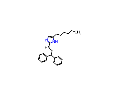 CCCCCCc1cnc(BCC(c2ccccc2)c2ccccc2)[nH]1